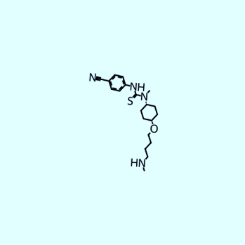 CNCCCCO[C@H]1CC[C@H](N(C)C(=S)Nc2ccc(C#N)cc2)CC1